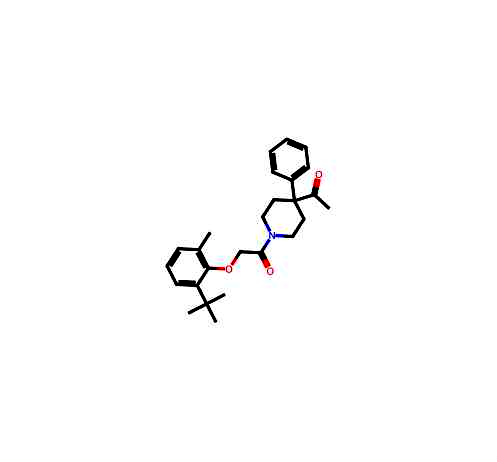 CC(=O)C1(c2ccccc2)CCN(C(=O)COc2c(C)cccc2C(C)(C)C)CC1